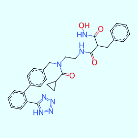 O=C(NO)C(Cc1ccccc1)C(=O)NCCN(Cc1ccc(-c2ccccc2-c2nnn[nH]2)cc1)C(=O)C1CC1